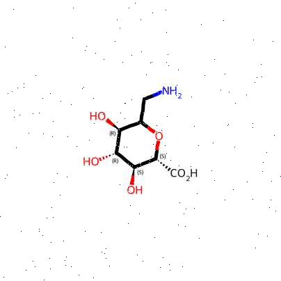 NCC1O[C@H](C(=O)O)[C@@H](O)[C@H](O)[C@H]1O